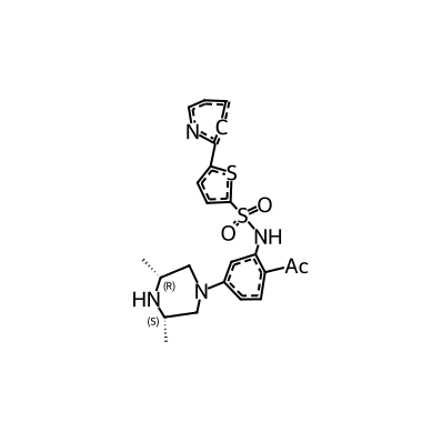 CC(=O)c1ccc(N2C[C@@H](C)N[C@@H](C)C2)cc1NS(=O)(=O)c1ccc(-c2ccccn2)s1